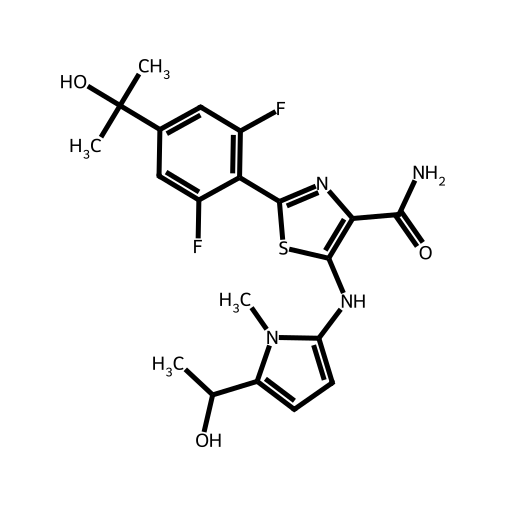 CC(O)c1ccc(Nc2sc(-c3c(F)cc(C(C)(C)O)cc3F)nc2C(N)=O)n1C